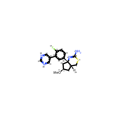 CO[C@@H]1C[C@H]2CSC(N)=N[C@@]2(c2ccc(F)c(-c3cncnc3)c2)C1